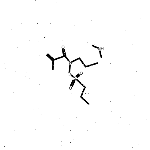 C=C(C)C(=O)N(CCC)OS(=O)(=O)CCC.CNC